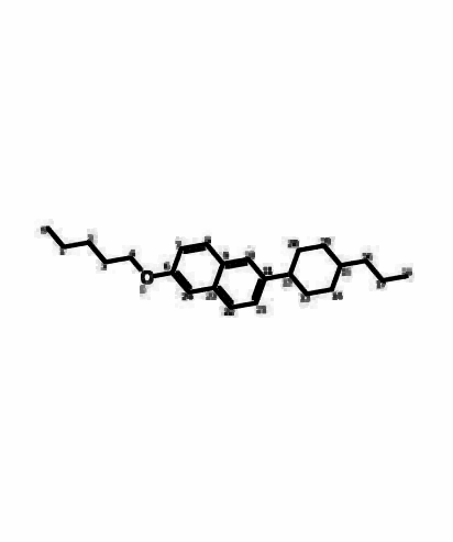 CCCCCOc1ccc2cc(C3CCC(CCC)CC3)ccc2c1